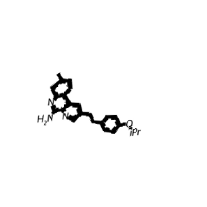 Cc1ccc2c(c1)nc(N)c1ncc(CCc3ccc(OC(C)C)cc3)cc12